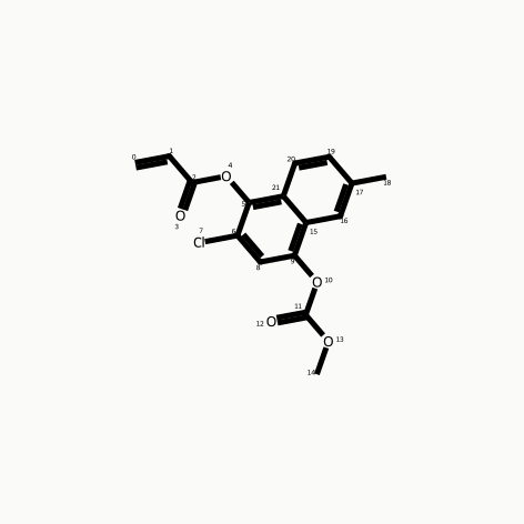 C=CC(=O)Oc1c(Cl)cc(OC(=O)OC)c2cc(C)ccc12